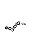 CC(C)COc1cc(N2CCN(C(=O)c3ccc(-n4cccn4)cc3)CC2)ncn1